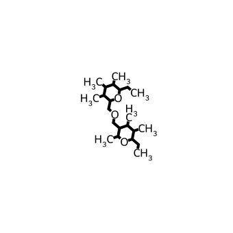 CCC1OC(COCC2C(C)OC(CC)C(C)C2C)C(C)C(C)C1C